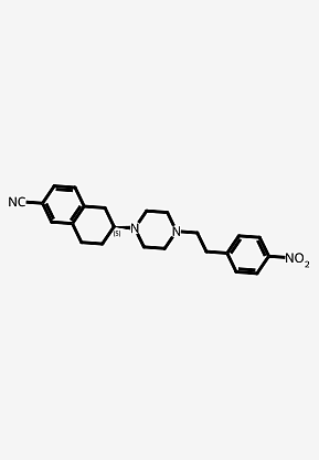 N#Cc1ccc2c(c1)CC[C@H](N1CCN(CCc3ccc([N+](=O)[O-])cc3)CC1)C2